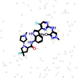 COc1nn(C)cc1Nc1ncc(F)c(-c2c[nH]c3c(NC(=O)C4CC(C)(F)CN4[C@@H]4CCN(C)C4)cccc23)n1